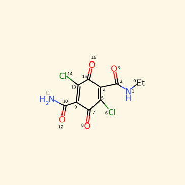 CCNC(=O)C1=C(Cl)C(=O)C(C(N)=O)=C(Cl)C1=O